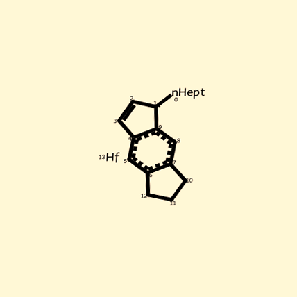 CCCCCCC[C]1C=Cc2cc3c(cc21)CCC3.[Hf]